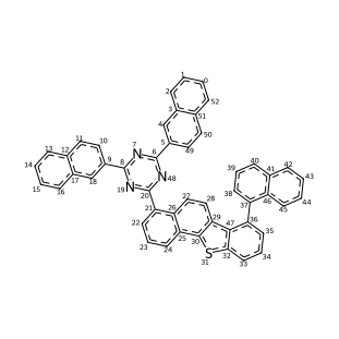 c1ccc2cc(-c3nc(-c4ccc5ccccc5c4)nc(-c4cccc5c4ccc4c5sc5cccc(-c6cccc7ccccc67)c54)n3)ccc2c1